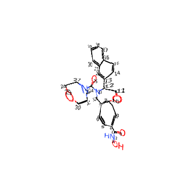 O=C(NO)c1ccc2c(c1)OCC(c1ccc3ccccc3c1)N(C(=O)N1CCOCC1)C2